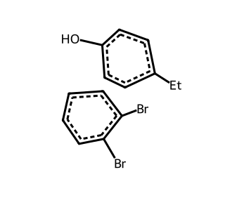 Brc1ccccc1Br.CCc1ccc(O)cc1